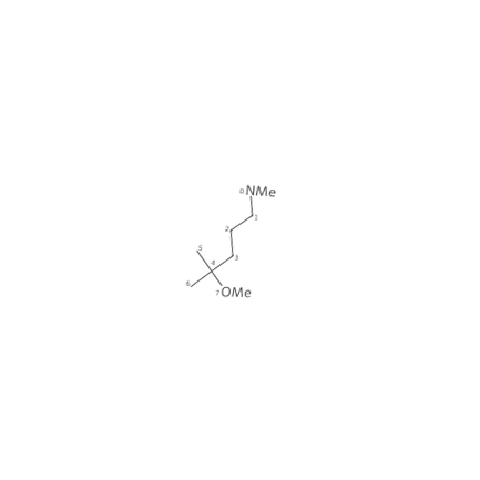 CNCCCC(C)(C)OC